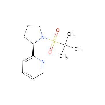 CC(C)(C)S(=O)(=O)N1CCC[C@@H]1c1ccccn1